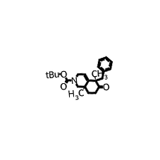 CC(C)(C)OC(=O)N1CC=C2[C@@](C)(CCC(=O)[C@]2(C)Cc2ccccc2)C1